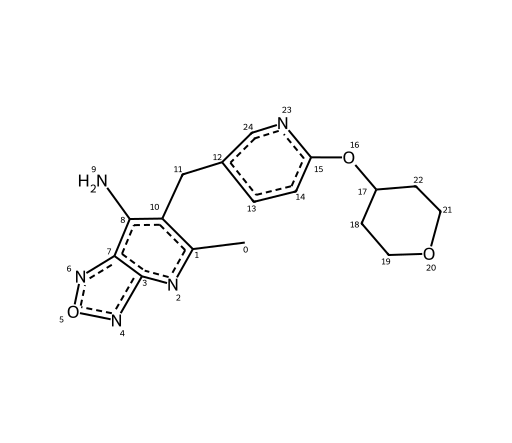 Cc1nc2nonc2c(N)c1Cc1ccc(OC2CCOCC2)nc1